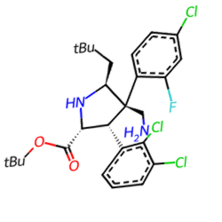 CC(C)(C)C[C@@H]1N[C@@H](C(=O)OC(C)(C)C)[C@@H](c2cccc(Cl)c2Cl)[C@@]1(CN)c1ccc(Cl)cc1F